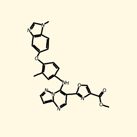 COC(=O)c1coc(-c2cnc3ccnn3c2Nc2ccc(Oc3ccc4c(c3)ncn4C)c(C)c2)n1